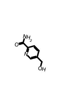 NC(=O)c1ccc(CO)cn1